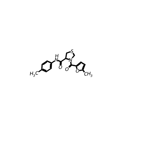 Cc1ccc(NC(=O)C2CSCN2C(=O)c2ccc(C)o2)cc1